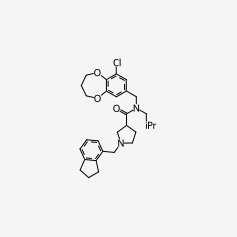 CC(C)CN(Cc1cc(Cl)c2c(c1)OCCCO2)C(=O)C1CCN(Cc2cccc3c2CCC3)C1